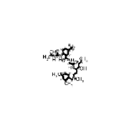 CCCC(O)C(CCN(C)Cc1ccc(C)cc1C)NC(=O)CNC(=O)c1cc(C(F)(F)F)ccc1NC(=O)NC(C)C